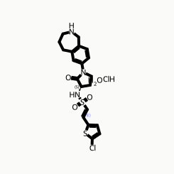 Cl.O.O=C1[C@@H](NS(=O)(=O)/C=C/c2ccc(Cl)s2)CCN1c1ccc2c(c1)CCCNC2